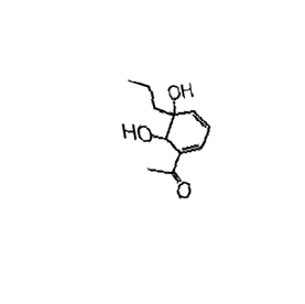 CCCC1(O)C=CC=C(C(C)=O)C1O